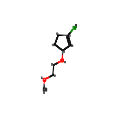 CCOCCOC1C=C(Br)CC1